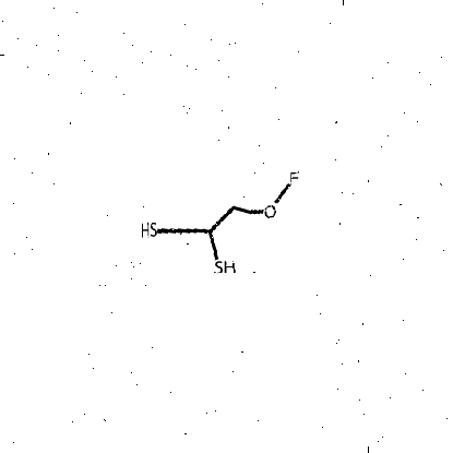 FOCC(S)S